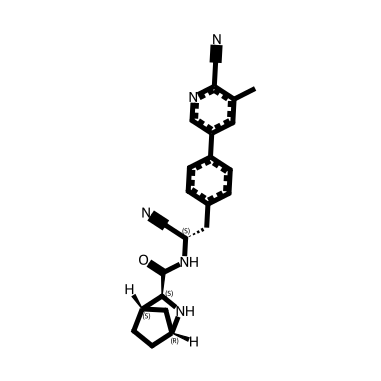 Cc1cc(-c2ccc(C[C@@H](C#N)NC(=O)[C@H]3N[C@@H]4CC[C@H]3C4)cc2)cnc1C#N